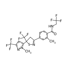 Cc1cc(C2=NSC(c3cc(C(F)(F)F)nn3C)(C(F)(F)F)C2)ccc1C(=O)NCC(F)(F)F